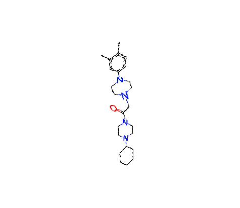 Cc1ccc(N2CCN(CC(=O)N3CCN(C4CCCCC4)CC3)CC2)cc1C